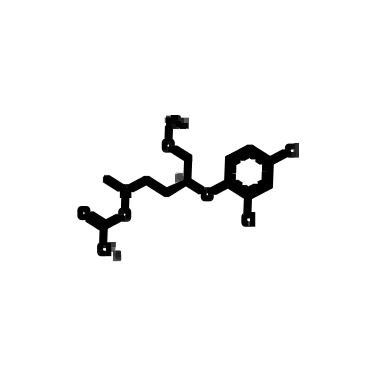 CN(CC[C@@H](COC(C)(C)C)Oc1ccc(Cl)cc1Cl)OC(=O)C(F)(F)F